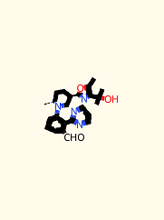 Cc1oc([C@@H]2CC[C@@H](C)N(c3cccc(C=O)c3-c3ncccn3)C2)nc1C(C)(C)O